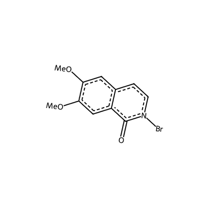 COc1cc2ccn(Br)c(=O)c2cc1OC